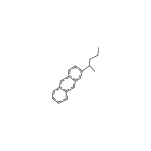 CCCC(C)c1ccc2cc3ccccc3cc2c1